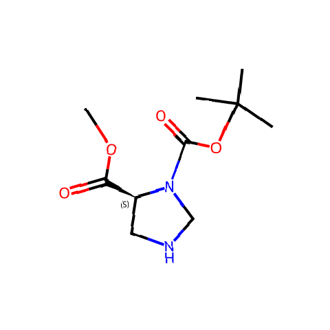 COC(=O)[C@@H]1CNCN1C(=O)OC(C)(C)C